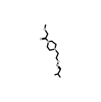 COCC(=O)N1CCN(CCO/N=C/C(C)C)CC1